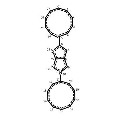 c1ccccc(-c2cc3cn(-c4ccccccccc4)nc3s2)cccc1